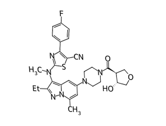 CCc1nn2c(C)cc(N3CCN(C(=O)[C@H]4COC[C@@H]4O)CC3)cc2c1N(C)c1nc(-c2ccc(F)cc2)c(C#N)s1